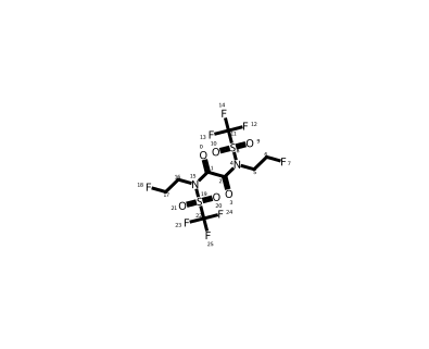 O=C(C(=O)N(CCF)S(=O)(=O)C(F)(F)F)N(CCF)S(=O)(=O)C(F)(F)F